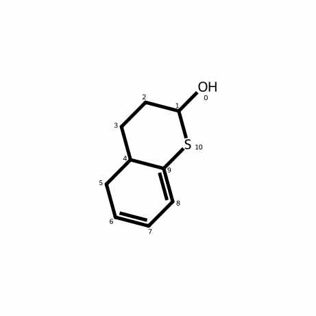 OC1CCC2CC=CC=C2S1